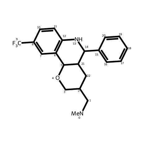 CNCC1COC2c3cc(C(F)(F)F)ccc3NC(c3ccccc3)C2C1